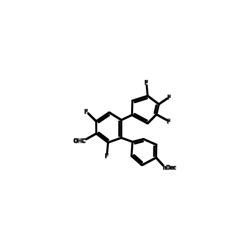 CCCCCCCCCCc1ccc(-c2c(-c3cc(F)c(F)c(F)c3)cc(F)c(C=O)c2F)cc1